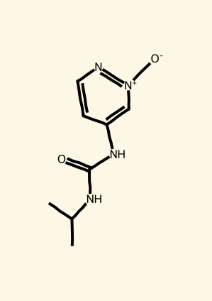 CC(C)NC(=O)Nc1ccn[n+]([O-])c1